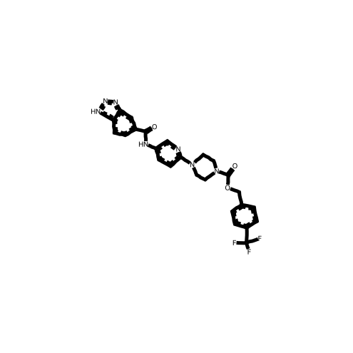 O=C(Nc1ccc(N2CCN(C(=O)OCc3ccc(C(F)(F)F)cc3)CC2)nc1)c1ccc2[nH]nnc2c1